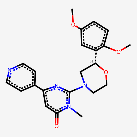 COc1ccc(OC)c([C@H]2CN(c3nc(-c4ccncc4)cc(=O)n3C)CCO2)c1